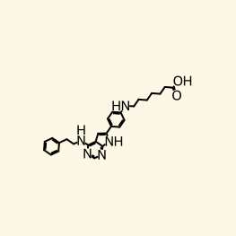 O=C(O)CCCCCCNc1ccc(-c2cc3c(NCCc4ccccc4)ncnc3[nH]2)cc1